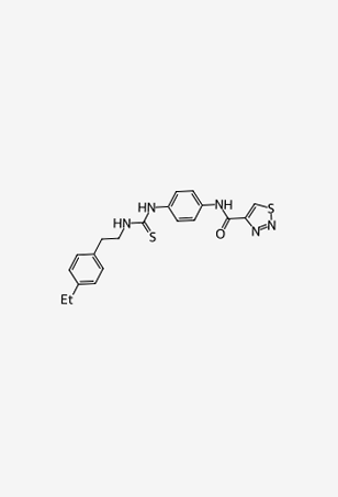 CCc1ccc(CCNC(=S)Nc2ccc(NC(=O)c3csnn3)cc2)cc1